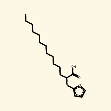 CCCCCCCCCCCCC(Sc1cccs1)C(=O)O